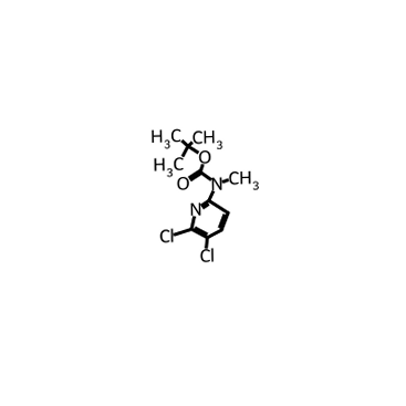 CN(C(=O)OC(C)(C)C)c1ccc(Cl)c(Cl)n1